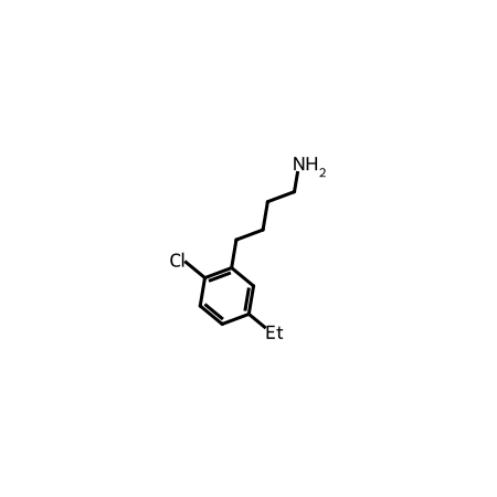 CCc1ccc(Cl)c(CCCCN)c1